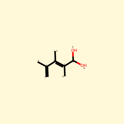 C=C(C)/C(C)=C(\C)C(O)O